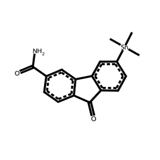 [CH3][Sn]([CH3])([CH3])[c]1ccc2c(c1)-c1cc(C(N)=O)ccc1C2=O